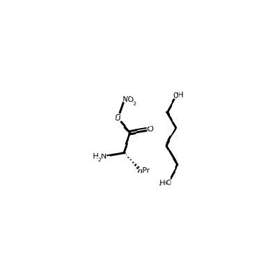 CCC[C@H](N)C(=O)O[N+](=O)[O-].OCCCCO